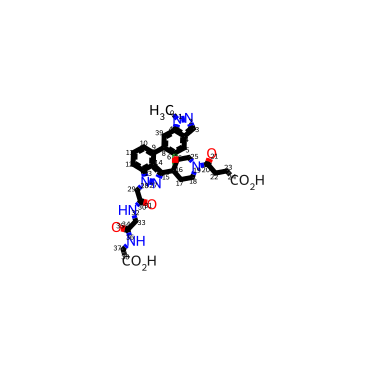 Cn1ncc2cc(F)c(-c3cccc4c3c(C3CCN(C(=O)CCC(=O)O)CC3)nn4CC(=O)NCC(=O)NCC(=O)O)cc21